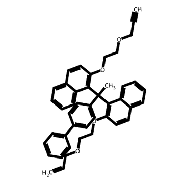 C#CCOCCOc1ccc2ccccc2c1C(C)(c1ccc(-c2ccccc2)cc1)c1c(OCCOCC=C)ccc2ccccc12